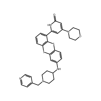 O=c1cc(N2CCOCC2)cc(-c2cccc3c2Sc2ccc(NC4CCN(Cc5ccncc5)CC4)cc2S3)[nH]1